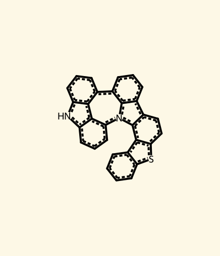 c1ccc2c(c1)sc1ccc3c4cccc5c6cccc7[nH]c8cccc(c8c76)n(c54)c3c12